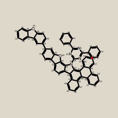 c1ccc(-c2nc(-c3ccccc3)nc(-n3c4c(ccc5c6ccc(-c7ccc8oc9ccccc9c8c7)cc6oc54)c4c5ccccc5c5c6ccccc6c6ccccc6c5c43)n2)cc1